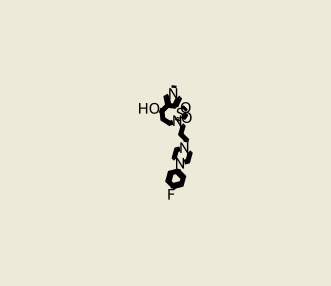 Cn1cc2c(c1)S(=O)(=O)N(CCCN1CCN(c3ccc(F)cc3)CC1)CCC2O